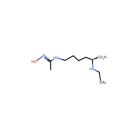 CC(=O)OCN[C@@H](CCCCN/C(C)=N/O)C(=O)O